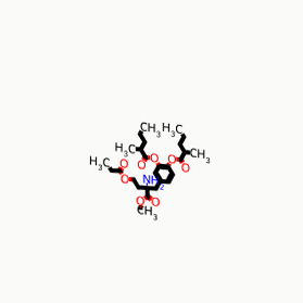 CCCC(C)C(=O)Oc1ccc(C[C@](N)(CCOC(=O)CC)C(=O)OC)cc1OC(=O)C(C)CCC